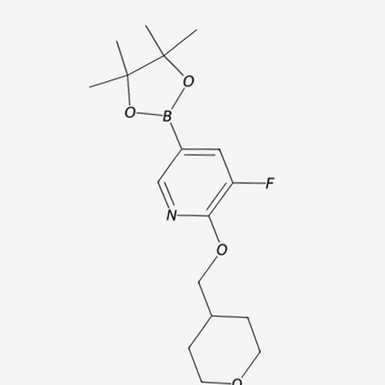 CC1(C)OB(c2cnc(OCC3CCOCC3)c(F)c2)OC1(C)C